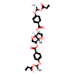 C=CC(=O)OC(CCC)Oc1ccc(C(=O)O[C@@H]2CO[C@H]3[C@@H]2OC[C@H]3OC(=O)c2ccc(OC(CCC)OC(=O)C=C)cc2)cc1